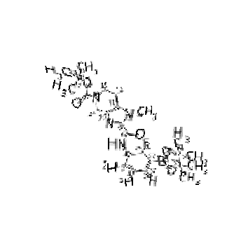 [2H]c1c([2H])c(NC(=O)c2nc3c(n2C)CCN(C(=O)OC(C)(C)C)C3)c(F)c(B2OC(C)(C)C(C)(C)O2)c1[2H]